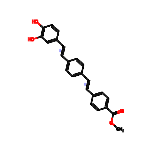 COC(=O)c1ccc(/C=C/c2ccc(/C=C/c3ccc(O)c(O)c3)cc2)cc1